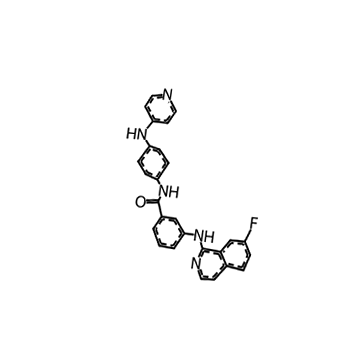 O=C(Nc1ccc(Nc2ccncc2)cc1)c1cccc(Nc2nccc3ccc(F)cc23)c1